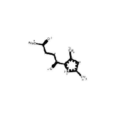 COC(=O)CCC(=O)c1[nH]c(C)cc1C